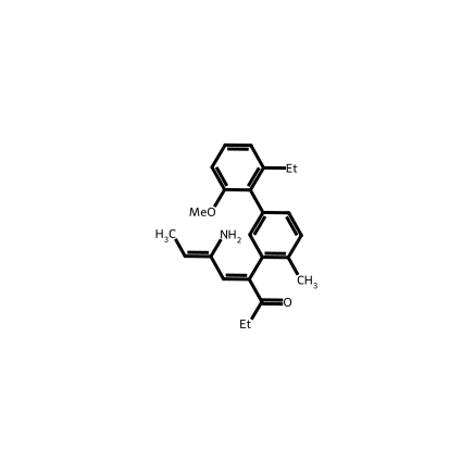 C/C=C(N)/C=C(/C(=O)CC)c1cc(-c2c(CC)cccc2OC)ccc1C